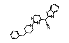 N#CC(c1ccnc(N2CCC(Cc3ccccc3)CC2)n1)c1nc2ccccc2s1